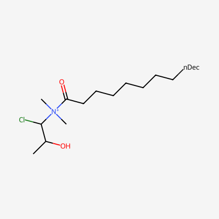 CCCCCCCCCCCCCCCCCC(=O)[N+](C)(C)C(Cl)C(C)O